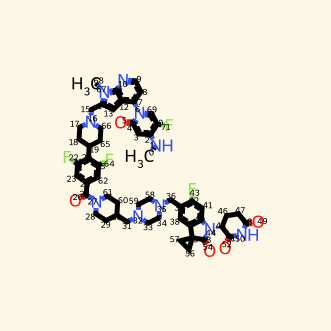 CNc1cc(=O)n(-c2ccnc3c2cc(CN2CCC(c4c(F)cc(C(=O)N5CCC(CN6CCN(Cc7cc8c(cc7F)N([C@@H]7CCC(=O)NC7=O)C(=O)C87CC7)CC6)CC5)cc4F)CC2)n3C)cc1F